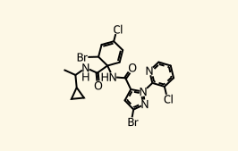 CC(NC(=O)C1(NC(=O)c2cc(Br)nn2-c2ncccc2Cl)C=CC(Cl)=CC1Br)C1CC1